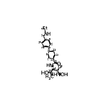 CCNCc1ccc(-c2ccc(C(=O)N[C@H](C(=O)NO)[C@@H](C)O)cc2)cc1